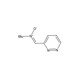 CC(C)(C)[N+]([O-])=Cc1cccnn1